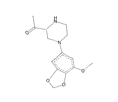 COc1cc(N2CCNC(C(C)=O)C2)cc2c1OCO2